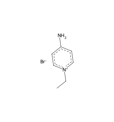 CC[n+]1ccc(N)cc1.[Br-]